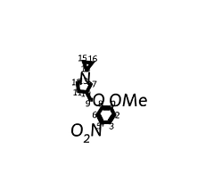 COc1ccc([N+](=O)[O-])cc1OCC1CCN(C2CC2)C1